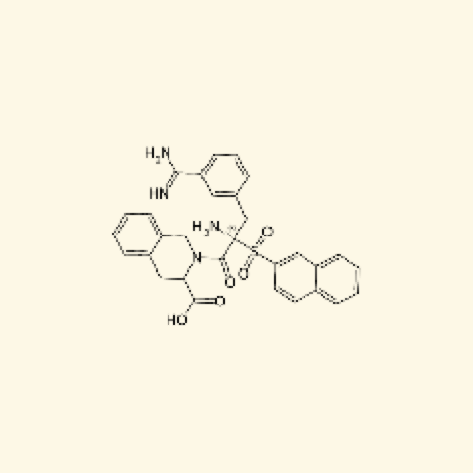 N=C(N)c1cccc(C[C@](N)(C(=O)N2Cc3ccccc3CC2C(=O)O)S(=O)(=O)c2ccc3ccccc3c2)c1